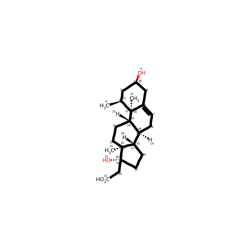 C[C@H]1C[C@@H](O)CC2=CC[C@@H]3[C@H](CC[C@@]4(C)[C@H]3CC[C@@]4(O)CC(=O)O)[C@]21C